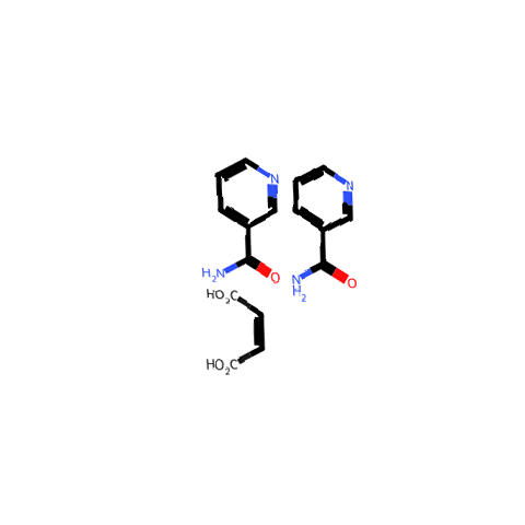 NC(=O)c1cccnc1.NC(=O)c1cccnc1.O=C(O)/C=C\C(=O)O